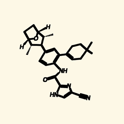 C[C@@H]1C(c2ccc(NC(=O)c3nc(C#N)c[nH]3)c(C3=CCC(C)(C)CC3)c2)[C@H](C)[C@@H]2CC[C@H]1O2